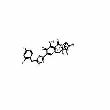 C[C@@]12C3[C@@H]1[C@@H]2[C@H]1Cn2cc(-c4nnc(Cc5ccc(F)cc5F)s4)c(=O)c(O)c2C(=O)N31